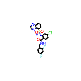 O=C(NCc1ccc(F)cc1F)c1ccc(Cl)cc1NS(=O)(=O)c1cccc2nccnc12